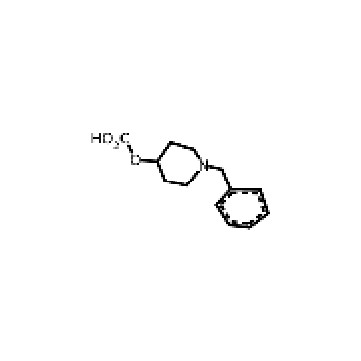 O=C(O)OC1CCN(Cc2ccccc2)CC1